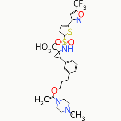 C=C(OCCCc1cccc(C2CC2(NS(=O)(=O)C2CC=C(c3cc(C(F)(F)F)on3)S2)C(=O)O)c1)N1CCN(C)CC1